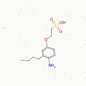 CCCCc1cc(OCCS(=O)(=O)O)ccc1N